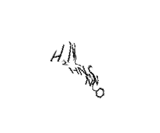 NCCCNc1nc(Cc2ccccc2)ns1